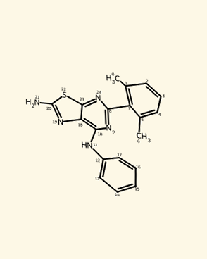 Cc1cccc(C)c1-c1nc(Nc2ccccc2)c2nc(N)sc2n1